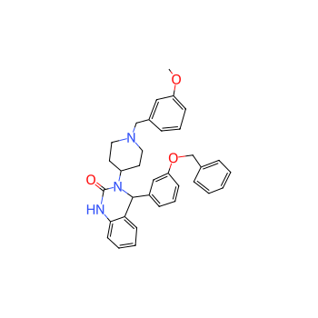 COc1cccc(CN2CCC(N3C(=O)Nc4ccccc4C3c3cccc(OCc4ccccc4)c3)CC2)c1